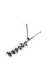 CCCCCCCCCCCCC/C=C/[C@@H](O)[C@H](CO[C@@H]1OC(CO)[C@@H](O[C@@H]2OC(CO)[C@H](O[C@@H]3OC(CO)[C@H](O)[C@H](O[C@H]4OC(CO)[C@H](O)[C@H](O[C@H]5OC(CO)[C@H](O)[C@H](O[C@@H]6OC(CO)[C@H](O)[C@H](O)C6NC(C)=O)C5O)C4O)C3O)[C@H](O)C2O)[C@H](O)C1O)NC(=O)CCCCCCCCCCCCCCC